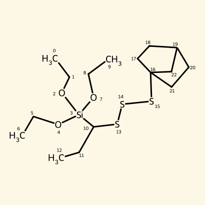 CCO[Si](OCC)(OCC)C(CC)SSSC12CCC(CC1)C2